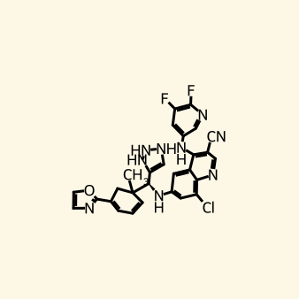 CC1([C@H](Nc2cc(Cl)c3ncc(C#N)c(Nc4cnc(F)c(F)c4)c3c2)C2=CNNN2)C=CC=C(c2ncco2)C1